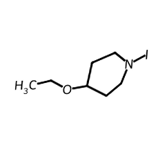 CCOC1CCN(I)CC1